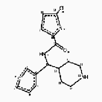 O=C(NC(c1ccccc1)C1CCNCC1)c1ccc(Cl)s1